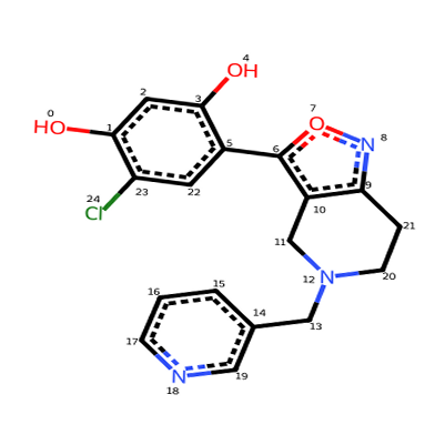 Oc1cc(O)c(-c2onc3c2CN(Cc2cccnc2)CC3)cc1Cl